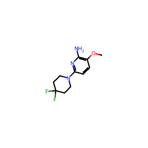 COc1ccc(N2CCC(F)(F)CC2)nc1N